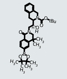 CC(C)(C)OC(=O)N1Cc2ccccc2CC1[C@H](O)CN1CC(C)(C)c2cc(B3OC(C)(C)C(C)(C)O3)ccc2C1=O